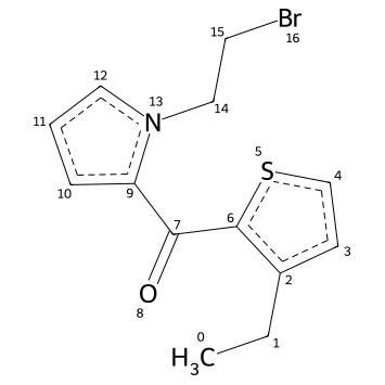 CCc1ccsc1C(=O)c1cccn1CCBr